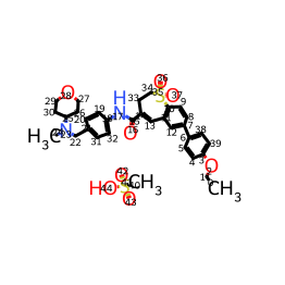 CCOc1ccc(-c2ccc3c(c2)C=C(C(=O)Nc2ccc(CN(C)C4CCOCC4)cc2)CCS3(=O)=O)cc1.CS(=O)(=O)O